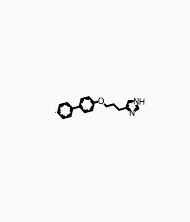 [c]1ccc(-c2ccc(OCCCc3c[nH]cn3)cc2)cc1